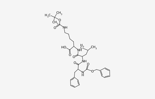 CC(C)CC(NC(=O)C(Cc1ccccc1)NC(=O)OCc1ccccc1)C(=O)NC(CCCCNC(=O)OC(C)(C)C)C(=O)O